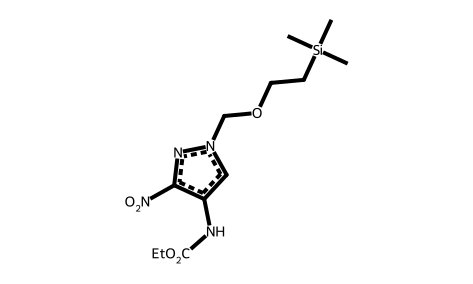 CCOC(=O)Nc1cn(COCC[Si](C)(C)C)nc1[N+](=O)[O-]